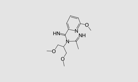 COCC(COC)N(C(C)=N)C(=N)c1cccc(OC)n1